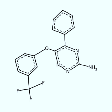 Nc1nnc(Oc2cccc(C(F)(F)F)c2)c(-c2ccccc2)n1